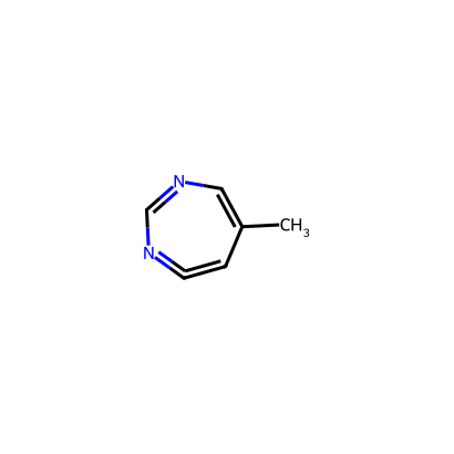 CC1=CN=CN=C=C1